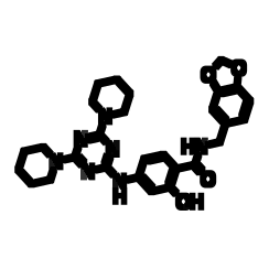 O=C(NCc1ccc2c(c1)OCO2)c1ccc(Nc2nc(N3CCCCC3)nc(N3CCCCC3)n2)cc1O